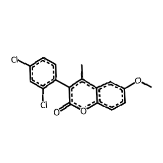 COc1ccc2oc(=O)c(-c3ccc(Cl)cc3Cl)c(C)c2c1